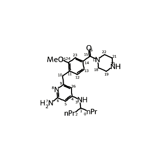 CCCC(CCC)Nc1cc(N)nc(Cc2ccc(C(=O)N3CCNCC3)cc2OC)c1